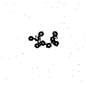 c1ccc(-c2cc(-n3c4ccccc4c4cc(-c5cccc(-n6c7ccccc7c7c8sc9ccccc9c8ccc76)c5)ccc43)nc(-c3ccccc3)n2)cc1